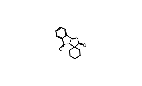 O=C1c2ccccc2C2=NC(=O)C3(CCCCC3)N12